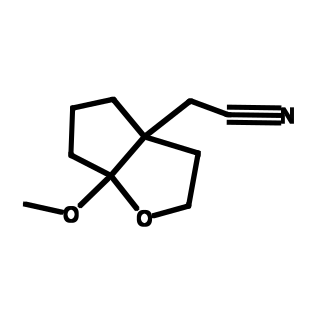 COC12CCCC1(CC#N)CCO2